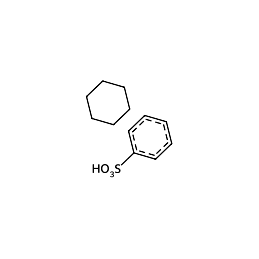 C1CCCCC1.O=S(=O)(O)c1ccccc1